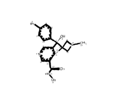 CC(C)c1ccc([C@](O)(c2cncc(C(=O)NO)c2)C2(C)CN(C)C2)cc1